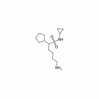 NCCCCC(C1CCCC1)S(=O)(=O)NC1CC1